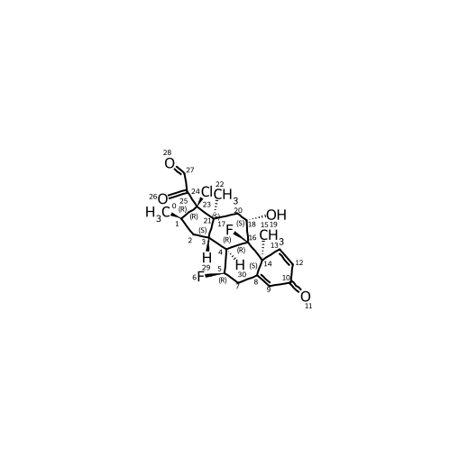 C[C@@H]1C[C@H]2[C@@H]3[C@H](F)CC4=CC(=O)C=C[C@]4(C)[C@@]3(F)[C@@H](O)C[C@]2(C)[C@@]1(Cl)C(=O)C=O